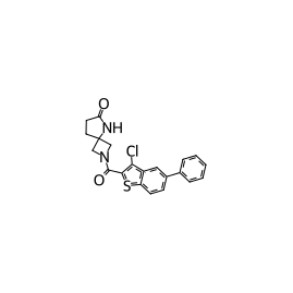 O=C1CCC2(CN(C(=O)c3sc4ccc(-c5ccccc5)cc4c3Cl)C2)N1